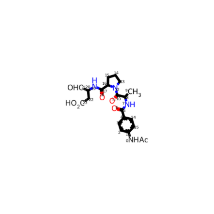 CC(=O)Nc1ccc(C(=O)NC(C)C(=O)N2CCCC2C(=O)NC(C=O)CC(=O)O)cc1